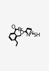 CCc1cccc(C(=O)Br)c1COc1ccn(S)n1